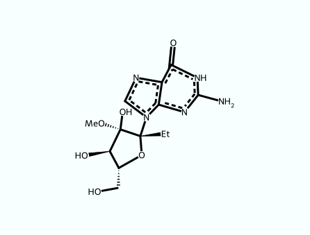 CC[C@@]1(n2cnc3c(=O)[nH]c(N)nc32)O[C@H](CO)[C@@H](O)[C@]1(O)OC